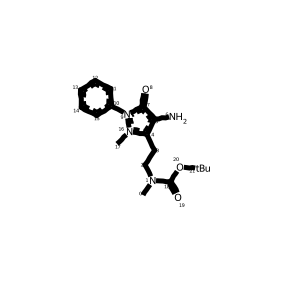 CN(CCc1c(N)c(=O)n(-c2ccccc2)n1C)C(=O)OC(C)(C)C